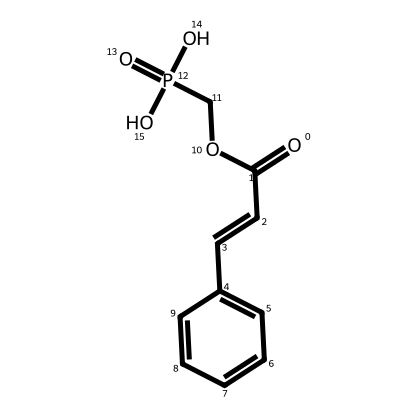 O=C(/C=C/c1ccccc1)OCP(=O)(O)O